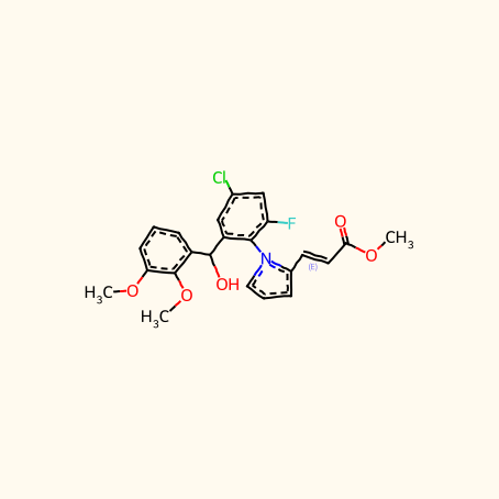 COC(=O)/C=C/c1cccn1-c1c(F)cc(Cl)cc1C(O)c1cccc(OC)c1OC